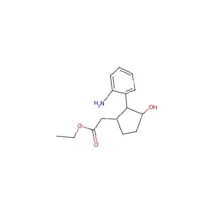 CCOC(=O)CC1CCC(O)C1c1ccccc1N